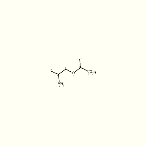 CC(N)COC(C)C(=O)O